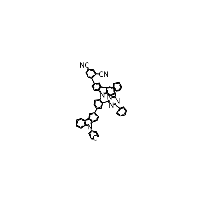 N#Cc1ccc(-c2ccc3c(c2)c2ccccc2n3-c2ccc(-c3ccc4c(c3)c3ccccc3n4-c3ccccc3)cc2-c2nc(-c3ccccc3)nc(-c3ccccc3)n2)c(C#N)c1